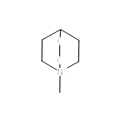 [CH2][N+]12CCC(CC1)CC2